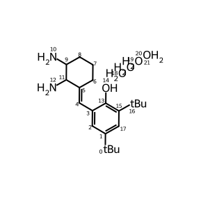 CC(C)(C)c1cc(C=C2CCCC(N)C2N)c(O)c(C(C)(C)C)c1.O.O.O.O